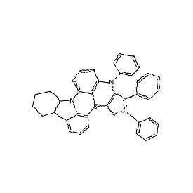 c1ccc(-c2sc3c(c2-c2ccccc2)N(c2ccccc2)c2cccc4c2B3c2cccc3c2N4C2CCCCC32)cc1